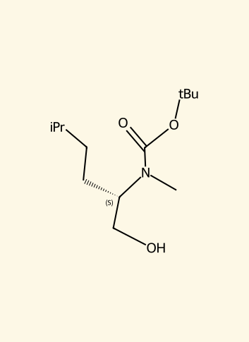 CC(C)CC[C@@H](CO)N(C)C(=O)OC(C)(C)C